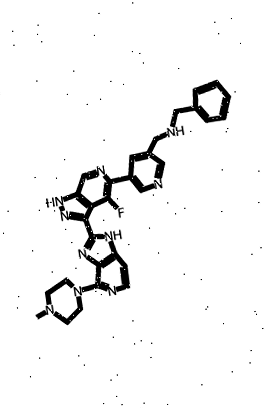 CN1CCN(c2nccc3[nH]c(-c4n[nH]c5cnc(-c6cncc(CNCc7ccccc7)c6)c(F)c45)nc23)CC1